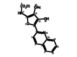 CCOC(=O)Nc1oc(-c2ccc3ccccc3n2)c(O)c1OC(C)=O